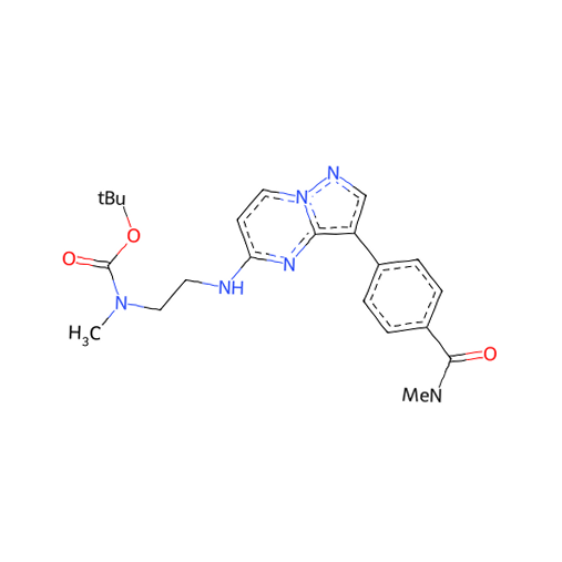 CNC(=O)c1ccc(-c2cnn3ccc(NCCN(C)C(=O)OC(C)(C)C)nc23)cc1